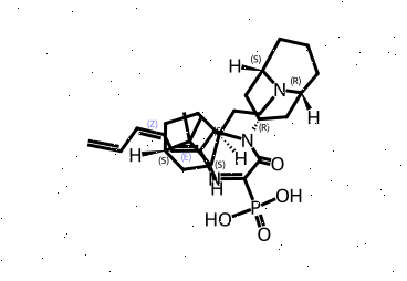 C=C/C=C\C=C1/CN([C@H]2C[C@H]3CCC[C@@H](C2)N3CC[C@@H]2CC[C@H]3C[C@@H]2C3(C)C)C(=O)C(P(=O)(O)O)=N1